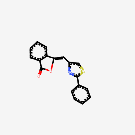 O=C1OC(=Cc2csc(-c3ccccc3)n2)c2ccccc21